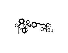 CCN(CCCC1CCN(CC(=O)N2c3ccccc3C(=O)Nc3cccnc32)CC1)C(=O)C(C)(C)C